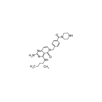 CCC[C@@H](C)Nc1nc(N)nc2ccn(Cc3ccc(C(=O)N4CCNCC4)cc3)c(=O)c12